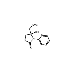 CSCC1(O)CSC(=S)N1c1ccccn1